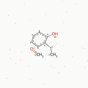 C=O.CCc1ccccc1O